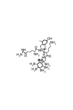 Bc1c(B)c(B)c(C(B)(B)CNC(=O)[C@H](CCCCN)NC(=O)[C@H](Cc2c(C)cc(O)cc2C)NC(=O)[C@H](N)CCCNC(=N)N)c(B)c1B